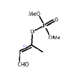 COP(=O)(OC)O/C(C)=C/C=O